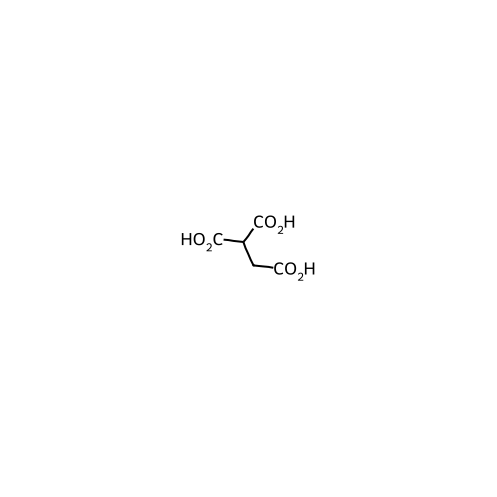 O=C(O)CC(C(=O)O)C(=O)O